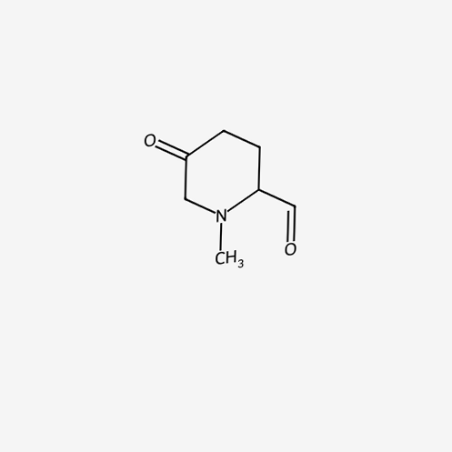 CN1CC(=O)CCC1C=O